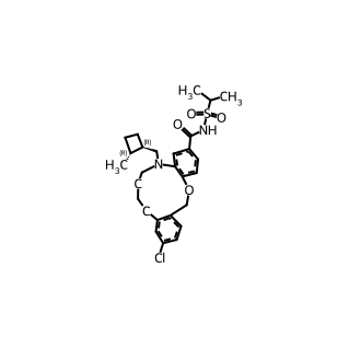 CC(C)S(=O)(=O)NC(=O)c1ccc2c(c1)N(C[C@@H]1CC[C@H]1C)CCCCc1cc(Cl)ccc1CO2